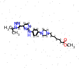 COC(=O)CCCCCCN1CCN(c2ccc(Nc3nccc(-c4cn(C(C)C)nn4)n3)cc2)CC1